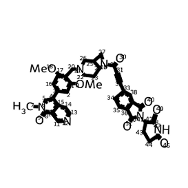 COc1cc(-c2cn(C)c(=O)c3cnccc23)cc(OC)c1CN1CCC2C(C1)CN2C(=O)C#Cc1ccc2c(c1)C(=O)N(C1CCC(=O)NC1=O)C2=O